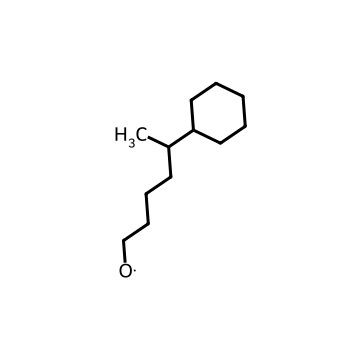 CC(CCCC[O])C1CCCCC1